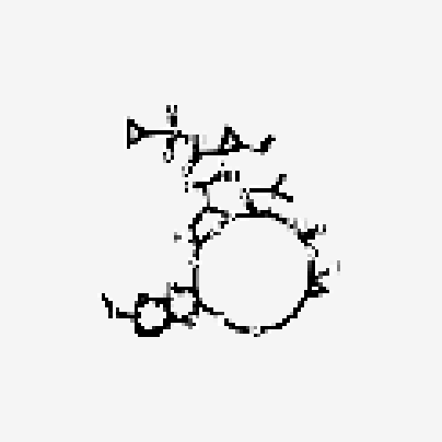 C=C[C@@H]1C[C@]1(NC(=O)[C@@H]1C[C@H]2CN1C(=O)[C@H](C(C)(C)C)NC(=O)O[C@@H]1CC1CCCCCc1nc3ccc(OC)cc3nc1O2)C(=O)NS(=O)(=O)C1CC1